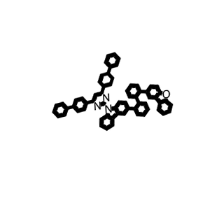 C1=CC(c2ccccc2)CC=C1c1cc(-c2ccc(-c3ccccc3)cc2)nc(-n2c3ccccc3c3cc(-c4ccccc4-c4ccccc4-c4ccc5oc6ccccc6c5c4)ccc32)n1